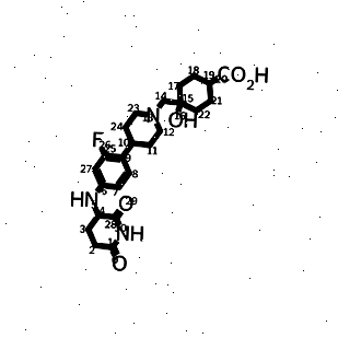 O=C1CCC(Nc2ccc(C3CCN(CC4(O)CCC(C(=O)O)CC4)CC3)c(F)c2)C(=O)N1